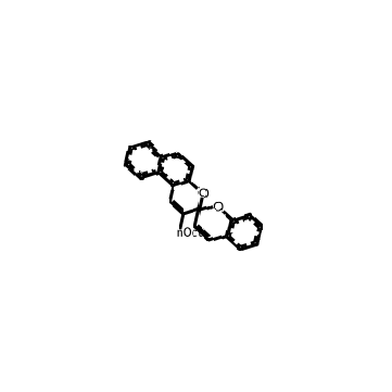 CCCCCCCCC1=Cc2c(ccc3ccccc23)OC12C=Cc1ccccc1O2